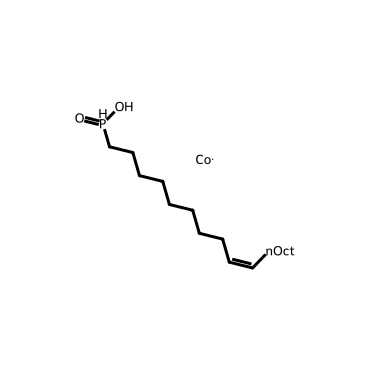 CCCCCCCC/C=C\CCCCCCCC[PH](=O)O.[Co]